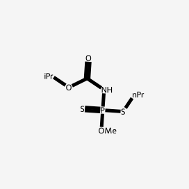 CCCSP(=S)(NC(=O)OC(C)C)OC